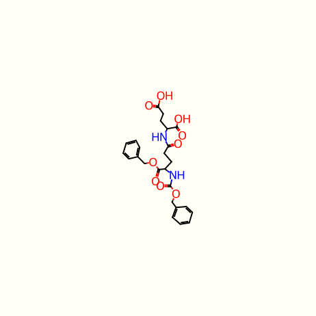 O=C(O)CCC(NC(=O)CCC(NC(=O)OCc1ccccc1)C(=O)OCc1ccccc1)C(=O)O